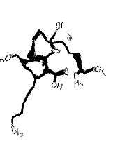 CCCCCc1cc(O)c2c(c1C(=O)O)OC(C)(CCC=C(C)C)C=C2